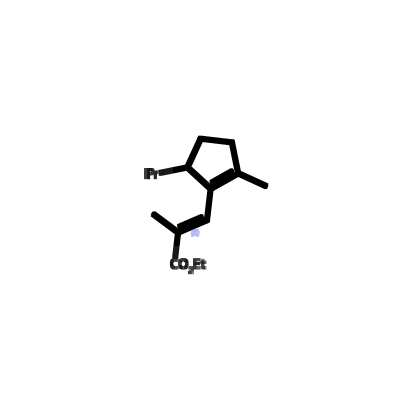 CCOC(=O)/C(C)=C/C1=C(C)CCC1C(C)C